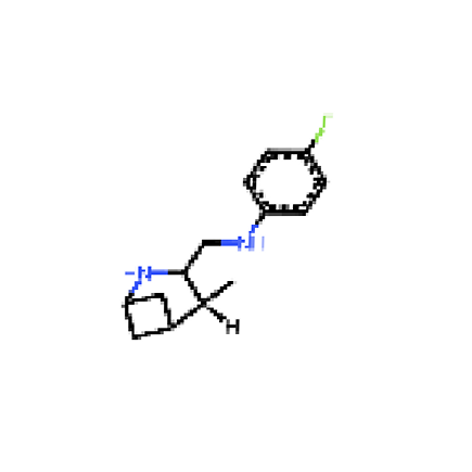 C[C@@H]1C2CC(C2)NC1CNc1ccc(F)cc1